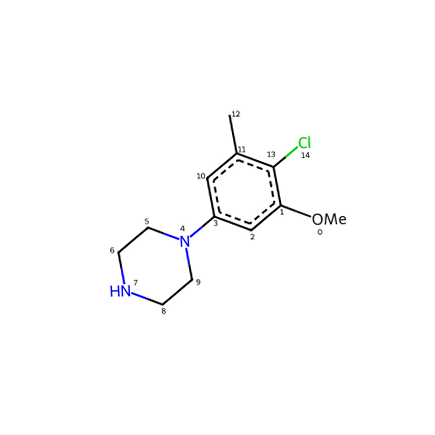 COc1cc(N2CCNCC2)cc(C)c1Cl